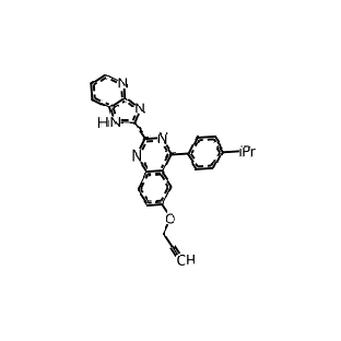 C#CCOc1ccc2nc(-c3nc4ncccc4[nH]3)nc(-c3ccc(C(C)C)cc3)c2c1